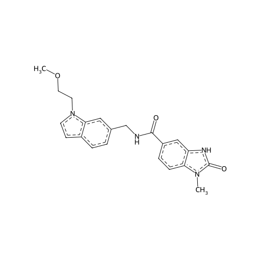 COCCn1ccc2ccc(CNC(=O)c3ccc4c(c3)[nH]c(=O)n4C)cc21